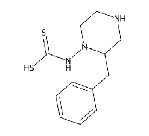 S=C(S)NN1CCNCC1Cc1ccccc1